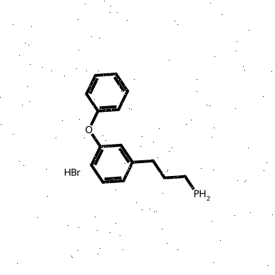 Br.PCCCc1cccc(Oc2ccccc2)c1